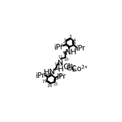 CC(C)c1cccc(C(C)C)c1NCCCNCCNc1c(C(C)C)cccc1C(C)C.[Cl-].[Cl-].[Co+2]